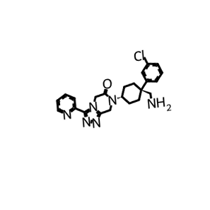 NC[C@]1(c2cccc(Cl)c2)CC[C@@H](N2Cc3nnc(-c4ccccn4)n3CC2=O)CC1